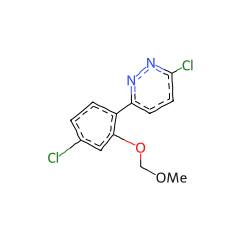 COCOc1cc(Cl)ccc1-c1ccc(Cl)nn1